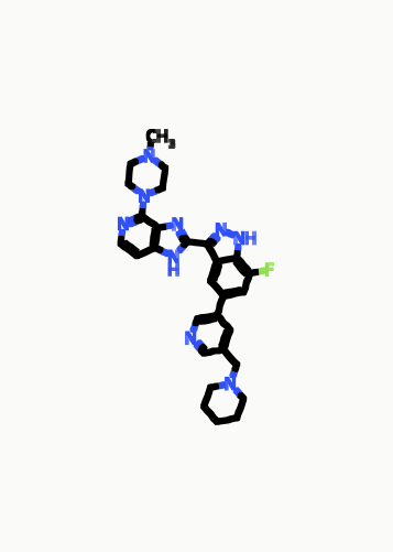 CN1CCN(c2nccc3[nH]c(-c4n[nH]c5c(F)cc(-c6cncc(CN7CCCCC7)c6)cc45)nc23)CC1